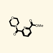 COC(=O)c1cccc(C(=O)N2CCOCC2)n1